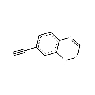 C#Cc1ccc2c(c1)ON[C]=N2